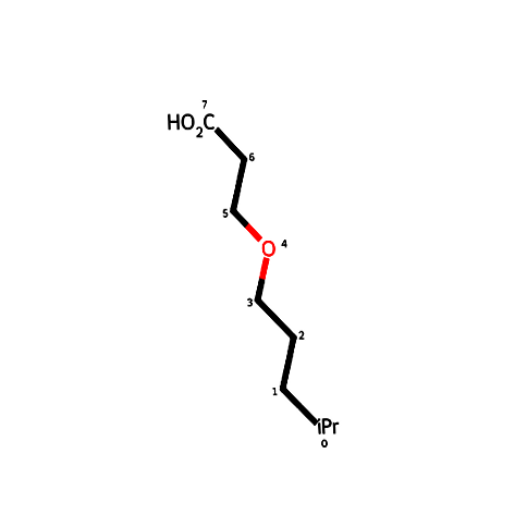 CC(C)CCCOCCC(=O)O